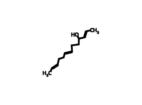 C/C=C/CC/C=C/CCC(O)/C=C/C